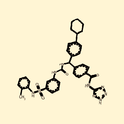 Cc1ccccc1NS(=O)(=O)c1cccc(NC(=O)NC(c2ccc(C(=O)Nc3nn[nH]n3)cc2)c2ccc(C3CCCCC3)cc2)c1